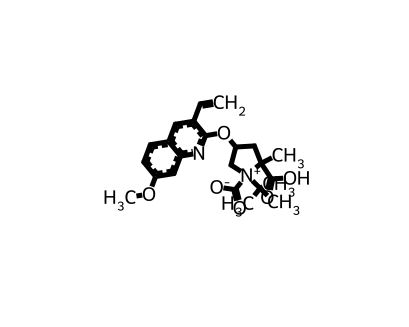 C=Cc1cc2ccc(OC)cc2nc1OC1CC(C)(C(=O)O)[N+](C(=O)[O-])(C(C)(C)C)C1